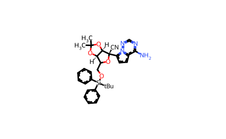 CC1(C)O[C@@H]2C(CO[Si](c3ccccc3)(c3ccccc3)C(C)(C)C)O[C@@](C#N)(c3ccc4c(N)ncnn34)[C@@H]2O1